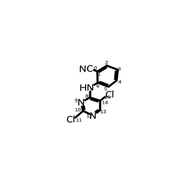 N#Cc1ccccc1Nc1nc(Cl)ncc1Cl